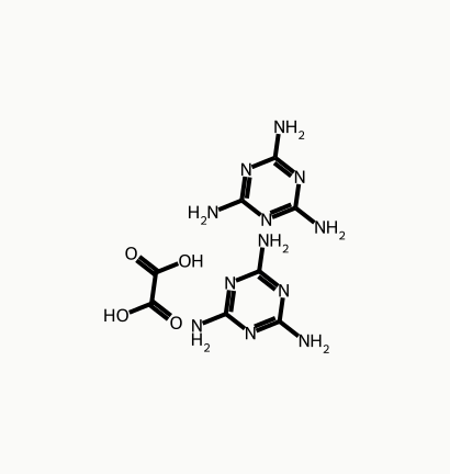 Nc1nc(N)nc(N)n1.Nc1nc(N)nc(N)n1.O=C(O)C(=O)O